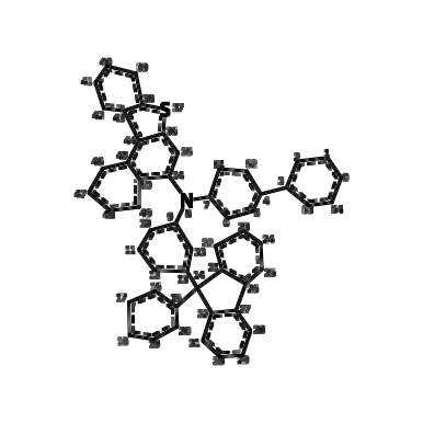 c1ccc(-c2ccc(N(c3cccc(C4(c5ccccc5)c5ccccc5-c5ccccc54)c3)c3cc4sc5ccccc5c4c4ccccc34)cc2)cc1